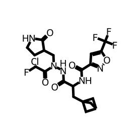 O=C(NC(CC12CC(C1)C2)C(=O)NN(CC1CCNC1=O)C(=O)C(F)Cl)c1cc(C(F)(F)F)on1